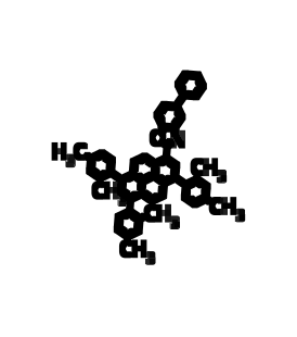 Cc1ccc(-c2cc(-c3nc4cc(-c5ccccc5)ccc4o3)c3ccc4c(-c5ccc(C)cc5C)cc(-c5ccc(C)cc5C)c5ccc2c3c45)c(C)c1